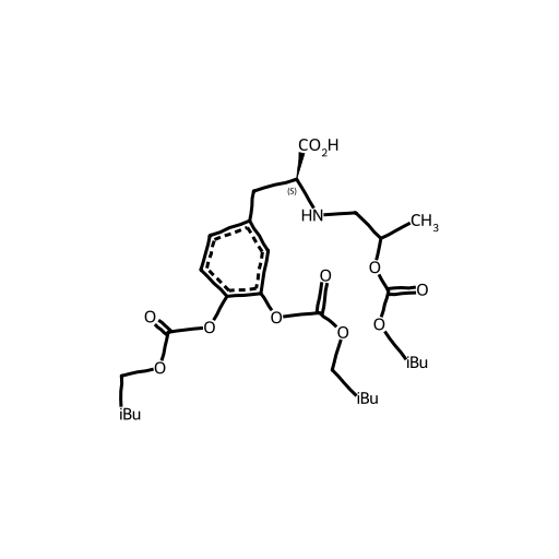 CCC(C)COC(=O)Oc1ccc(C[C@H](NCC(C)OC(=O)OC(C)CC)C(=O)O)cc1OC(=O)OCC(C)CC